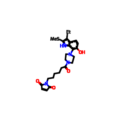 CCc1c(SC)[nH]c2c(N3CCN(C(=O)CCCCCN4C(=O)C=CC4=O)CC3)c(O)ccc12